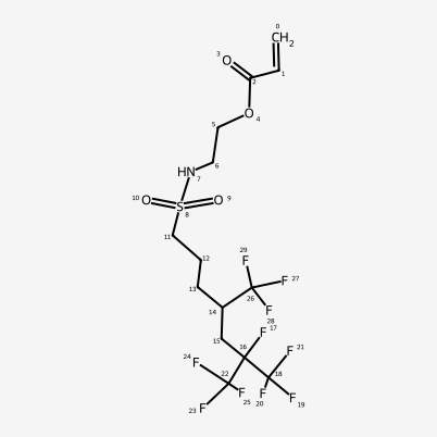 C=CC(=O)OCCNS(=O)(=O)CCCC(CC(F)(C(F)(F)F)C(F)(F)F)C(F)(F)F